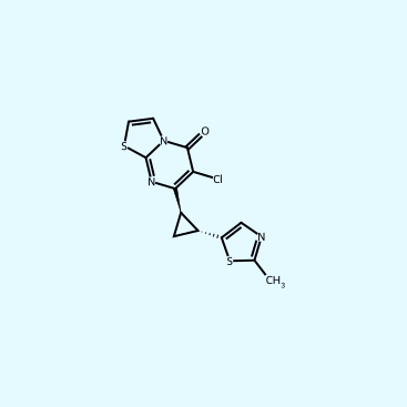 Cc1ncc([C@@H]2C[C@H]2c2nc3sccn3c(=O)c2Cl)s1